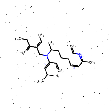 C=C/N=C(C)\C=C/CCCC(C)N(C/C(=C/C)C(=C)CC)/C(C=C)=C/C(C)C